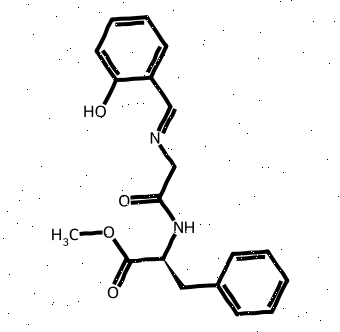 COC(=O)[C@H](Cc1ccccc1)NC(=O)C/N=C/c1ccccc1O